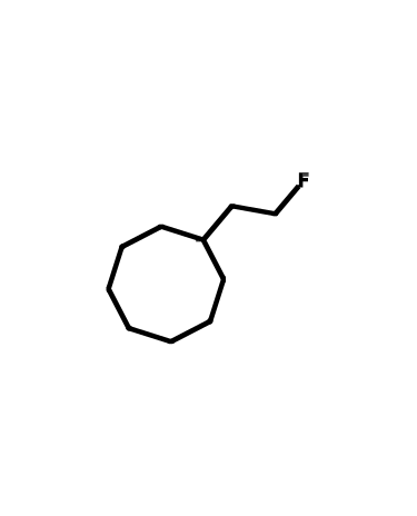 FCC[C]1CCCCCCC1